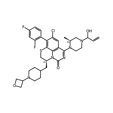 C=CC(O)N1CCN(c2nc(=O)n3c4c(c(-c5ccc(F)cc5F)c(Cl)cc24)SC[C@@H]3CC2CCN(C3COC3)CC2)[C@@H](C)C1